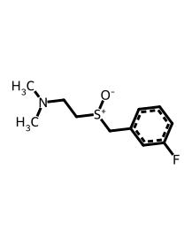 CN(C)CC[S+]([O-])Cc1cccc(F)c1